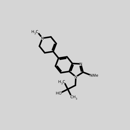 CNc1nc2cc(C3=CCN(C)CC3)ccc2n1CC(C)(C)O